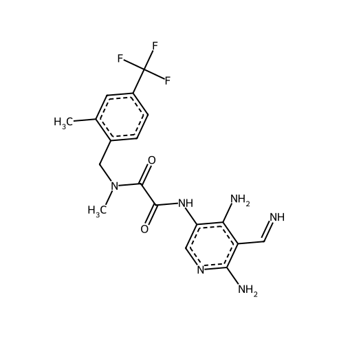 Cc1cc(C(F)(F)F)ccc1CN(C)C(=O)C(=O)Nc1cnc(N)c(C=N)c1N